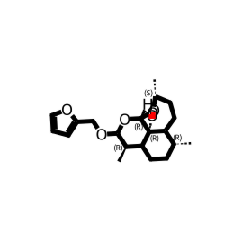 C[C@H]1C(OCc2ccco2)O[C@@H]2O[C@]3(C)CCC4[C@H](C)CCC1[C@]42OO3